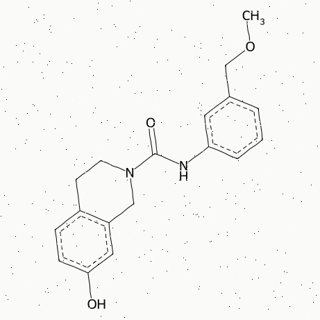 COCc1cccc(NC(=O)N2CCc3ccc(O)cc3C2)c1